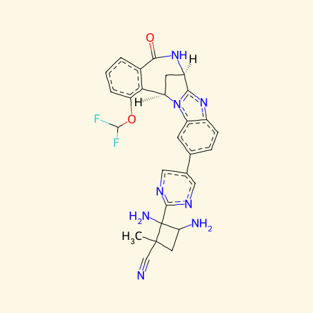 CC1(C#N)CC(N)C1(N)c1ncc(-c2ccc3nc4n(c3c2)[C@@H]2C[C@H]4NC(=O)c3cccc(OC(F)F)c32)cn1